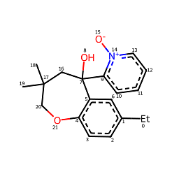 CCc1ccc2c(c1)C(O)(c1cccc[n+]1[O-])CC(C)(C)CO2